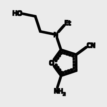 CCN(CCO)c1oc(N)cc1C#N